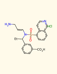 CCC(c1cccc(C(=O)O)c1)N(C=CCN)S(=O)(=O)c1cccc2cnccc12.Cl